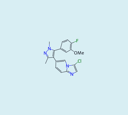 COc1cc(-c2c(-c3ccc4ncc(Cl)n4c3)c(C)nn2C)ccc1F